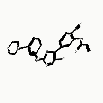 C=CC(=O)Nc1cc(-c2nc(Nc3cccc(N4CCOCC4)c3)ncc2F)ccc1C#N